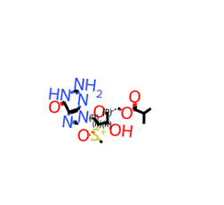 CC(C)C(=O)OC[C@H]1O[C@@H](n2cnc3c(=O)[nH]c(N)nc32)[C@H]([S+](C)[O-])[C@@H]1O